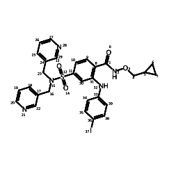 O=C(NOCC1CC1)c1ccc(S(=O)(=O)N(Cc2cccnc2)Cc2cccnc2)cc1Nc1ccc(I)cc1